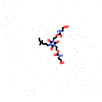 CCC(C)(C)CCCn1c(=O)n(CCOC(=O)NCCO)c(=O)n(CCOC(=O)NCCO)c1=O